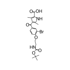 Cc1[nH]c(C(=O)O)c(C)c1C(=O)c1ccc(OCCNC(=O)OC(C)(C)C)c(Br)c1